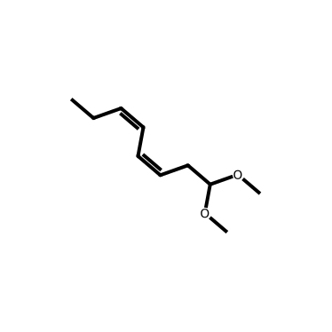 CC/C=C\C=C/CC(OC)OC